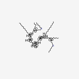 CCCCCC/C=C\CCCC(=O)O[C@H](CCCCCCC)CCOC[C@H](COP(=O)(O)OCCNC(=O)[C@H]1OC(C)(C)O[C@H]1C(=O)NCCOP(=O)(O)OC[C@@H](COCC[C@@H](CCCCCCC)OC(=O)CCC/C=C\CCCCCC)NC(=O)CCCCCCCCCCCCC)NC(=O)CCCCCCCCCCCCC